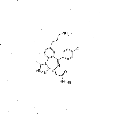 CCNC(=O)C[C@@H]1N=C(c2ccc(Cl)cc2)c2cc(OCCN)ccc2N2C1=NNC2C